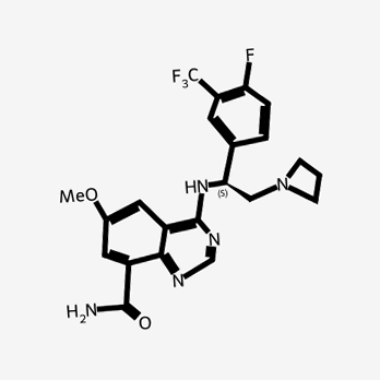 COc1cc(C(N)=O)c2ncnc(N[C@H](CN3CCC3)c3ccc(F)c(C(F)(F)F)c3)c2c1